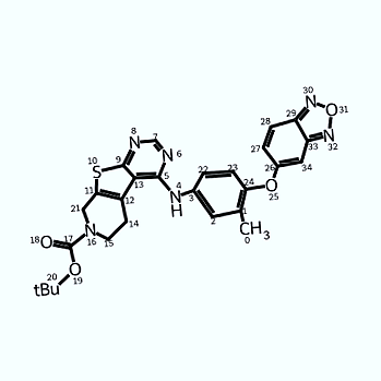 Cc1cc(Nc2ncnc3sc4c(c23)CCN(C(=O)OC(C)(C)C)C4)ccc1Oc1ccc2nonc2c1